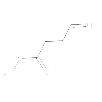 C=CCCC(=O)SC(F)(F)F